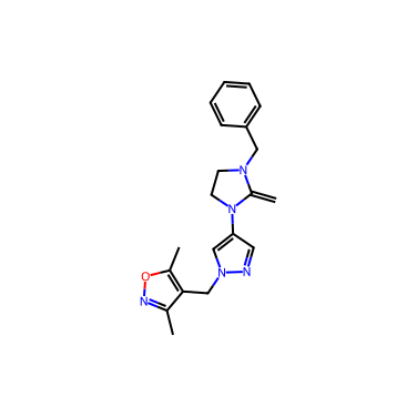 C=C1N(Cc2ccccc2)CCN1c1cnn(Cc2c(C)noc2C)c1